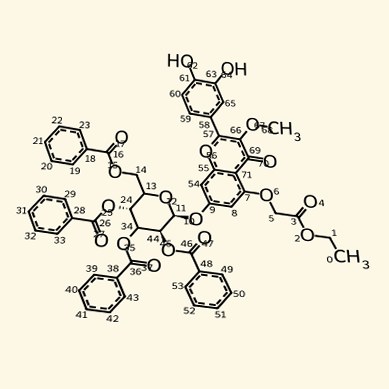 CCOC(=O)COc1cc(O[C@@H]2OC(COC(=O)c3ccccc3)[C@@H](OC(=O)c3ccccc3)C(OC(=O)c3ccccc3)[C@@H]2OC(=O)c2ccccc2)cc2oc(-c3ccc(O)c(O)c3)c(OC)c(=O)c12